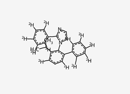 [2H]c1cc([2H])c(C(C)C)c(-n2ccnc2-c2c([2H])c([2H])c([2H])c([2H])c2[2H])c1-c1c([2H])c([2H])c([2H])c([2H])c1[2H]